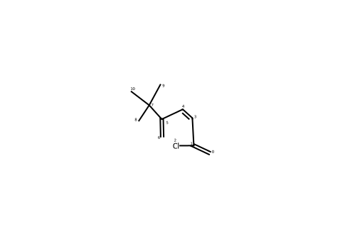 C=C(Cl)/C=C\C(=C)C(C)(C)C